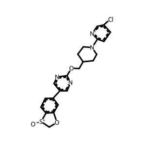 [O-][S@@+]1COc2cc(-c3cnc(OCC4CCN(c5ccc(Cl)cn5)CC4)nc3)ccc21